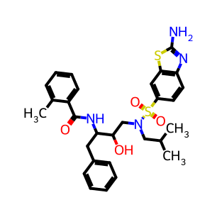 Cc1ccccc1C(=O)NC(Cc1ccccc1)C(O)CN(CC(C)C)S(=O)(=O)c1ccc2nc(N)sc2c1